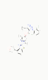 Clc1cccc(Cl)c1-n1nnc(C2CC2)c1CO[C@@H]1C[C@@H]2C[C@H]1CN2c1nc2c(C3CCOCC3)cccc2s1